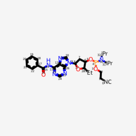 [C-]#[N+]CCOP(OC1CC(n2cnc3c(NC(=O)c4ccccc4)ncnc32)OC1CC)N(C(C)C)C(C)C